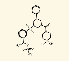 CC(OS(C)(=O)=O)c1cccc(S(=O)(=O)N2CC(C(=O)N3CCS(O)(O)CC3)CC(c3ccccc3)C2)c1